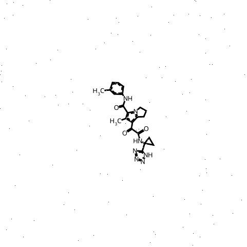 Cc1cccc(NC(=O)c2c(C)c(C(=O)C(=O)NC3(c4nnn[nH]4)CC3)c3n2CCC3)c1